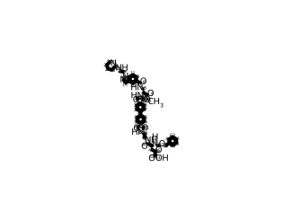 COC(=O)[C@H](CNC(=O)c1ccc2c(cnn2CCNC2=NCCCC2)c1)NS(=O)(=O)c1ccc(-c2ccc(S(=O)(=O)NCCNC(=O)[C@H](CCC(=O)O)NC(=O)OCc3ccccc3)cc2)cc1